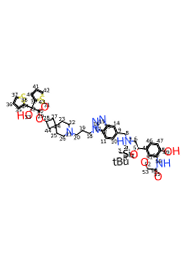 CC(C)(C)[Si](C)(C)O[C@@H](CNCc1ccc2c(c1)nnn2CCCN1CCC2(CC1)CC(OC(=O)C(O)(c1cccs1)c1cccs1)C2)c1ccc(O)c2c1OCC(=O)N2